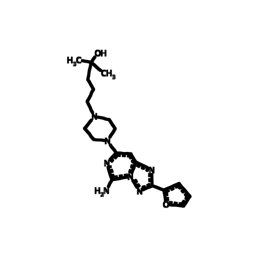 CC(C)(O)CCCN1CCN(c2cc3nc(-c4ccco4)nn3c(N)n2)CC1